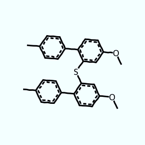 COc1ccc(-c2ccc(C)cc2)c(Sc2cc(OC)ccc2-c2ccc(C)cc2)c1